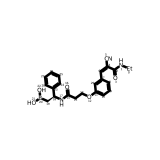 CCNC(=O)C(C#N)=Cc1cccc(OCCC(=O)N[C@@H](CB(O)O)c2ccccc2)c1